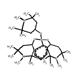 CN1C(C)(C)CC(O[Si](OC2CC(C)(C)N(C)C(C)(C)C2)(OC2CC(C)(C)N(C)C(C)(C)C2)c2ccccc2)CC1(C)C